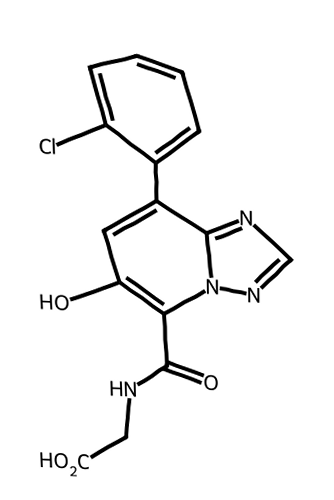 O=C(O)CNC(=O)c1c(O)cc(-c2ccccc2Cl)c2ncnn12